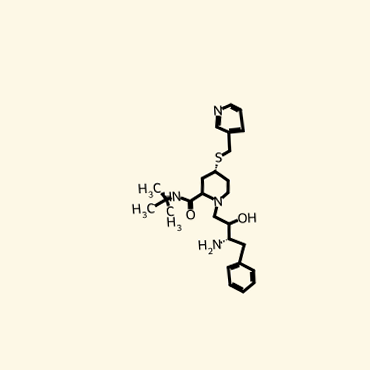 CC(C)(C)NC(=O)C1C[C@H](SCc2cccnc2)CCN1CC(O)[C@@H](N)Cc1ccccc1